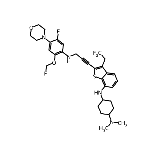 CN(C)C1CCC(Nc2cccc3c(CC(F)(F)F)c(C#CCNc4cc(F)c(N5CCOCC5)cc4OCF)sc23)CC1